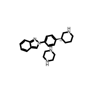 C1CNCCN1.c1ccc2nn(-c3ccc([C@@H]4CCCNC4)cc3)cc2c1